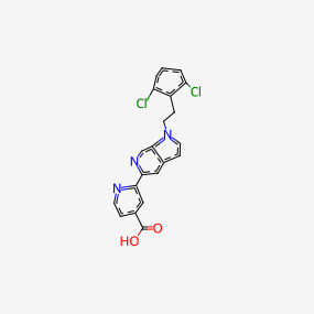 O=C(O)c1ccnc(-c2cc3ccn(CCc4c(Cl)cccc4Cl)c3cn2)c1